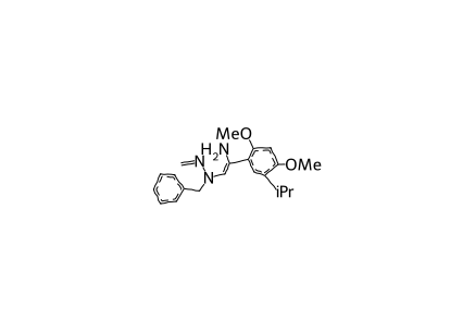 C=NN(/C=C(\N)c1cc(C(C)C)c(OC)cc1OC)Cc1ccccc1